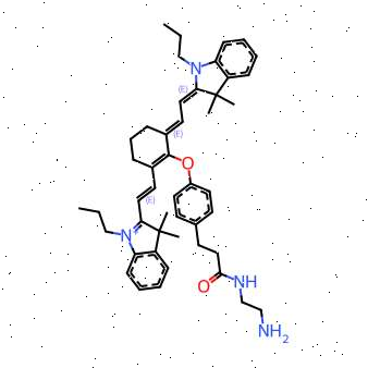 CCCN1/C(=C/C=C2\CCCC(/C=C/C3=[N+](CCC)c4ccccc4C3(C)C)=C2Oc2ccc(CCC(=O)NCCN)cc2)C(C)(C)c2ccccc21